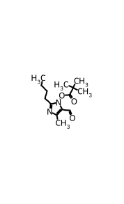 CCCCc1nc(C)c(C=O)n1OC(=O)C(C)(C)C